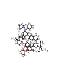 CC(C)(C)c1ccc(N2c3cc4c(cc3B3c5c(cc6ccccc6c52)-c2cc(N(c5ccccc5)c5ccccc5)cc5c6c(n3c25)-c2ccccc2C6(C)C)Oc2ccccc2O4)c(-c2ccccc2)c1